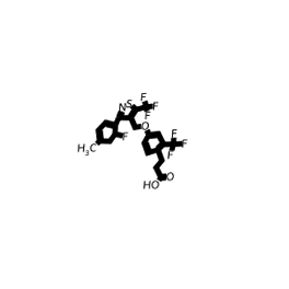 CC1=CC=C(c2nsc(C(F)(F)F)c2COc2ccc(CCC(=O)O)c(C(F)(F)F)c2)C(F)C1